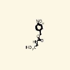 O=C(O)CNC(=O)OCc1ccc([N+](=O)[O-])cc1